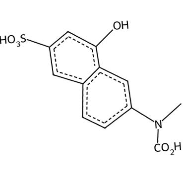 CN(C(=O)O)c1ccc2cc(S(=O)(=O)O)cc(O)c2c1